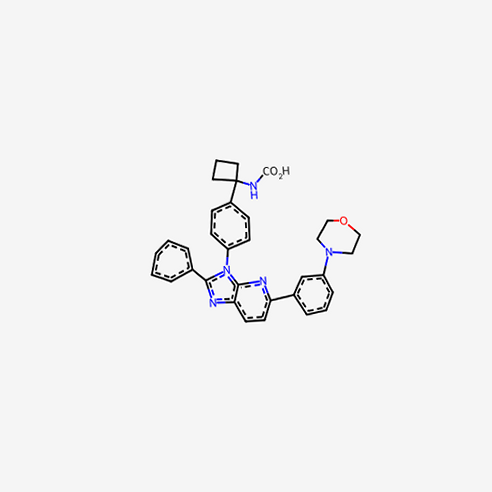 O=C(O)NC1(c2ccc(-n3c(-c4ccccc4)nc4ccc(-c5cccc(N6CCOCC6)c5)nc43)cc2)CCC1